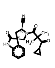 CC(C)(C(=O)C1CC1)C(=O)N1C[C@]2(C[C@H]1C#N)C(=O)Nc1ccccc12